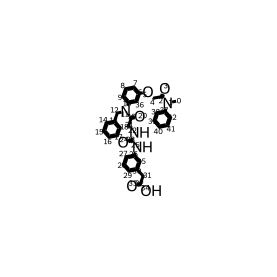 CN(C(=O)COc1cccc(N(Cc2ccccc2)C(=O)CNC(=O)Nc2cccc(CC(=O)O)c2)c1)c1ccccc1